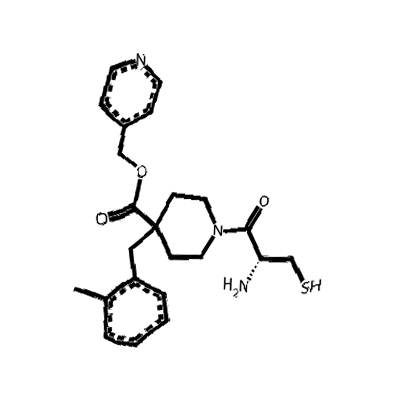 Cc1ccccc1CC1(C(=O)OCc2ccncc2)CCN(C(=O)[C@@H](N)CS)CC1